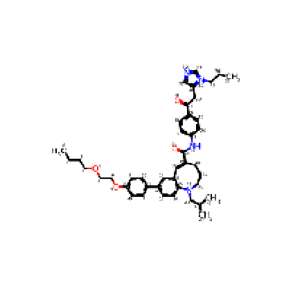 CCCCOCCOc1ccc(-c2ccc3c(c2)/C=C(/C(=O)Nc2ccc(C(=O)Cc4cncn4CCC)cc2)CCCN3CC(C)C)cc1